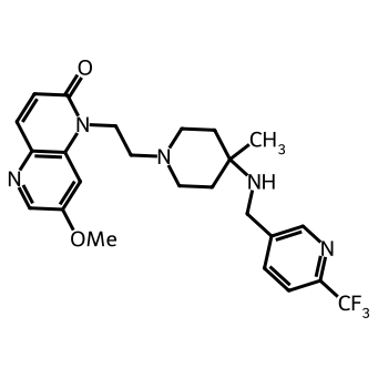 COc1cnc2ccc(=O)n(CCN3CCC(C)(NCc4ccc(C(F)(F)F)nc4)CC3)c2c1